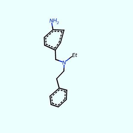 CCN(CCc1ccccc1)Cc1ccc(N)cc1